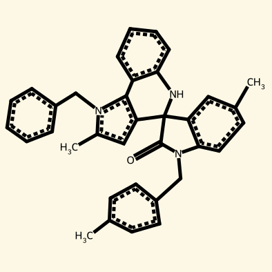 Cc1ccc(CN2C(=O)C3(Nc4ccccc4-c4c3cc(C)n4Cc3ccccc3)c3cc(C)ccc32)cc1